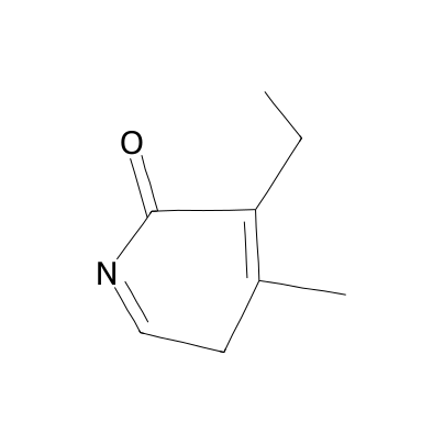 CCC1=C(C)CC=NC1=O